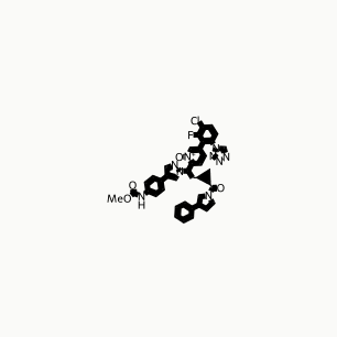 COC(=O)Nc1ccc(-c2cnn(C(C[C@@H]3C[C@@H]3C(=O)N3CCC(c4ccccc4)C3)c3ccc(-c4c(-n5cnnn5)ccc(Cl)c4F)c[n+]3[O-])c2)cc1